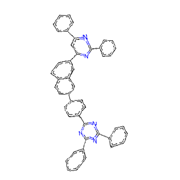 c1ccc(-c2cc(-c3ccc4ccc(-c5ccc(-c6nc(-c7ccccc7)nc(-c7ccccc7)n6)cc5)cc4c3)nc(-c3ccccc3)n2)cc1